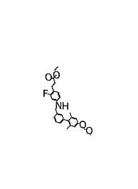 CCOC(=O)CCc1ccc(NCc2cccc(-c3c(C)cc(OCOC)cc3C)c2)cc1F